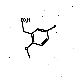 O=C(O)Cc1cc(F)ccc1OI